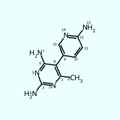 Cc1nc(N)nc(N)c1-c1ccc(N)nc1